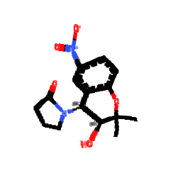 CC1(C)Oc2ccc([N+](=O)[O-])cc2[C@@H](N2CCCC2=O)[C@@H]1O